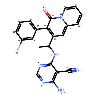 CC(Nc1ncnc(N)c1C#N)c1cc2ccccn2c(=O)c1-c1cccc(F)c1